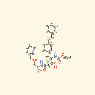 CC(C)[C@H](COCc1ccccn1)NC(=O)C(F)(F)C(O)C(Cc1ccc(OCc2ccccc2)cc1)NC(=O)OC(C)(C)C